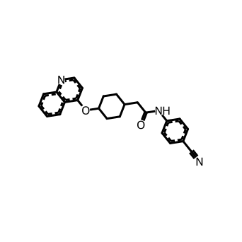 N#Cc1ccc(NC(=O)CC2CCC(Oc3ccnc4ccccc34)CC2)cc1